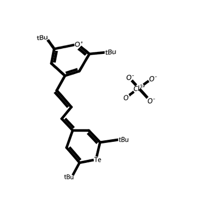 CC(C)(C)C1=CC(=CC=Cc2cc(C(C)(C)C)[o+]c(C(C)(C)C)c2)C=C(C(C)(C)C)[Te]1.[O-][Cl+3]([O-])([O-])[O-]